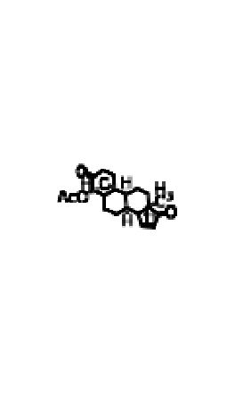 CC(=O)OC1C(=O)CC[C@@]2(C)C1CC[C@@H]1[C@@H]2CC[C@]2(C)C(=O)C=C[C@@H]12